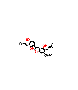 COc1cc2c(c(O)c1CC=C(C)C)CC(c1ccc(O)c(/C=C/C(C)C)c1O)CO2